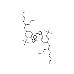 CC(C)(C)c1cc(CC(CCI)CCCI)cc2c1OC1OC2Oc2c1cc(CC(CCI)CCCI)cc2C(C)(C)C